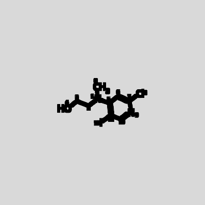 CN(CCO)c1cc(Cl)ncc1I